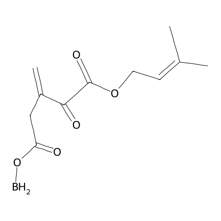 BOC(=O)CC(=C)C(=O)C(=O)OCC=C(C)C